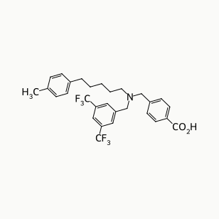 Cc1ccc(CCCCCN(Cc2ccc(C(=O)O)cc2)Cc2cc(C(F)(F)F)cc(C(F)(F)F)c2)cc1